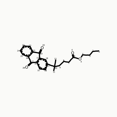 CCCCOC(=O)CCCC(C)(C)c1ccc2c(c1)C(=O)c1ccccc1C2=O